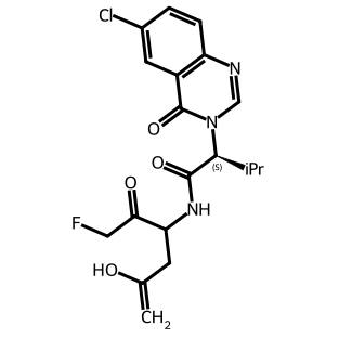 C=C(O)CC(NC(=O)[C@H](C(C)C)n1cnc2ccc(Cl)cc2c1=O)C(=O)CF